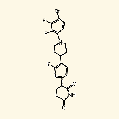 O=C1CCC(c2ccc(C3CCN(c4ccc(Br)c(F)c4F)CC3)c(F)c2)C(=O)N1